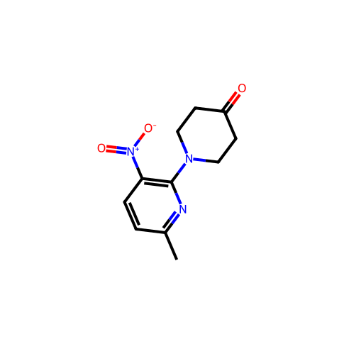 Cc1ccc([N+](=O)[O-])c(N2CCC(=O)CC2)n1